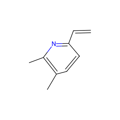 C=Cc1ccc(C)c(C)n1